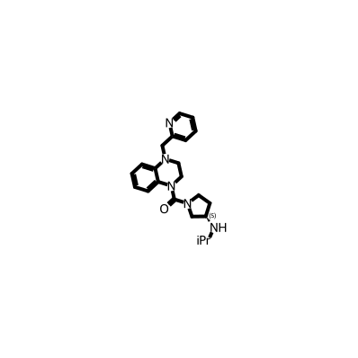 CC(C)N[C@H]1CCN(C(=O)N2CCN(Cc3ccccn3)c3ccccc32)C1